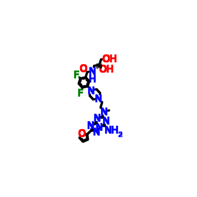 CN(CCN1CCN(c2cc(C(=O)NC[C@@H](O)CO)c(F)cc2F)CC1)c1nc(N)n2nc(-c3ccco3)nc2n1